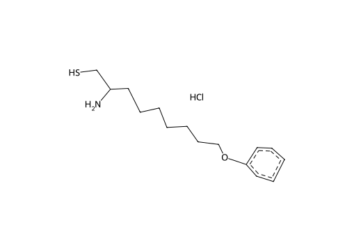 Cl.NC(CS)CCCCCCCOc1ccccc1